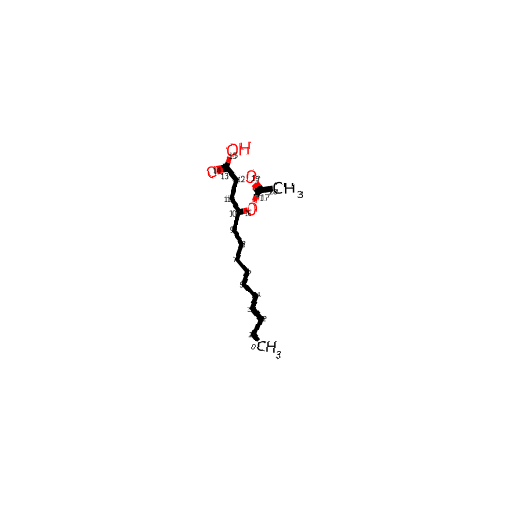 CCCCCCCCCCC(CCC(=O)O)OC(C)=O